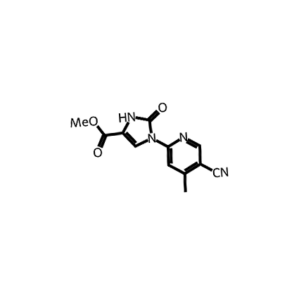 COC(=O)c1cn(-c2cc(C)c(C#N)cn2)c(=O)[nH]1